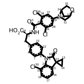 O=C(N[C@@H](Cc1ccc(N2C(=O)C3(CC3)c3cccc(Cl)c32)cc1)C(=O)O)c1c(Cl)cc(N2CC3CC2CO3)cc1Cl